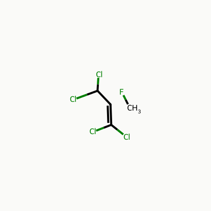 CF.ClC(Cl)=CC(Cl)Cl